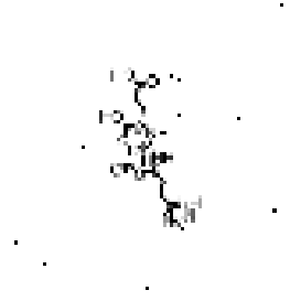 O=CO[C@H](CCc1nnn[nH]1)N[PH](=O)N[C@@H](CCC(=O)O)C(=O)O